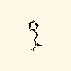 CCN(C)CCn1cncn1